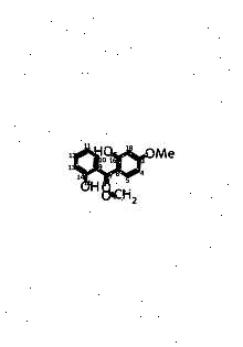 C=O.COc1ccc(C(=O)c2ccccc2O)c(O)c1